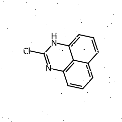 ClC1=Nc2cccc3cccc(c23)N1